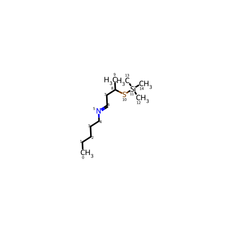 CCCCCN=CCC(C)S[Si](C)(C)C